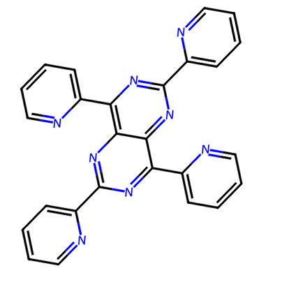 c1ccc(-c2nc(-c3ccccn3)c3nc(-c4ccccn4)nc(-c4ccccn4)c3n2)nc1